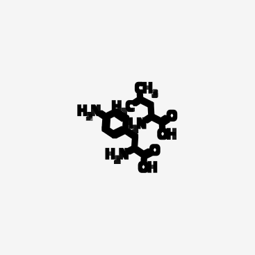 CC(C)CC(N)C(=O)O.Nc1ccc(CC(N)C(=O)O)cc1